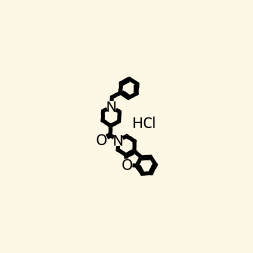 Cl.O=C(C1CCN(Cc2ccccc2)CC1)N1CCc2c(oc3ccccc23)C1